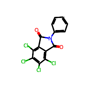 O=C1c2c(Cl)c(Cl)c(Cl)c(Cl)c2C(=O)N1c1cc[c]cc1